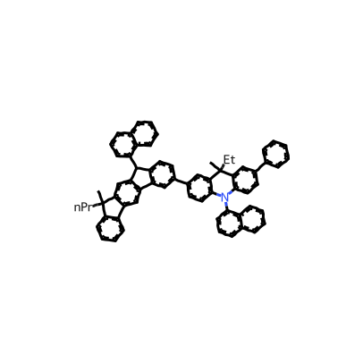 CCCC1(C)c2ccccc2-c2cc3c(cc21)C(c1cccc2ccccc12)c1ccc(-c2ccc4c(c2)C(C)(CC)c2cc(-c5ccccc5)ccc2N4c2cccc4ccccc24)cc1-3